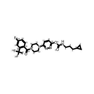 O=C(NCCCC1CC1)Oc1ccc(N2CCN(C(=O)c3ccc(F)cc3C(F)(F)F)CC2)nn1